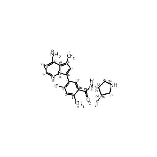 Cc1cc(F)c(-c2cc(C(F)(F)F)c3c(N)ncnn23)cc1C(=O)N[C@@H]1CNC[C@@H]1F